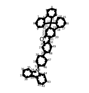 c1ccc2c(c1)-c1ccccc1C21c2ccccc2-c2cc3c(cc21)oc1cc(-c2ccc(-n4c5ccccc5c5ccccc54)cc2)ccc13